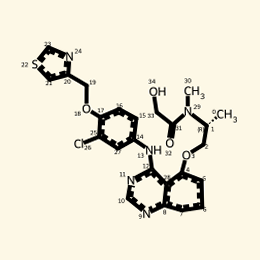 C[C@H](COc1cccc2ncnc(Nc3ccc(OCc4cscn4)c(Cl)c3)c12)N(C)C(=O)CO